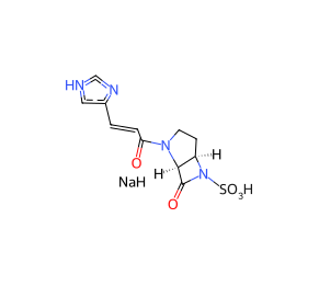 O=C(/C=C/c1c[nH]cn1)N1CC[C@@H]2[C@H]1C(=O)N2S(=O)(=O)O.[NaH]